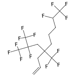 C=CCC(CCCC(F)C(F)(F)F)(CC(F)(C(F)(F)F)C(F)(F)F)C(F)(F)F